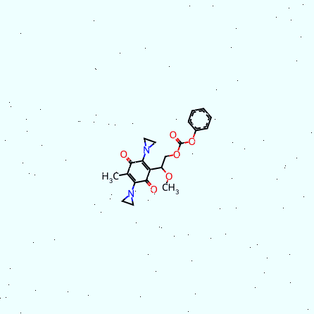 COC(COC(=O)Oc1ccccc1)C1=C(N2CC2)C(=O)C(C)=C(N2CC2)C1=O